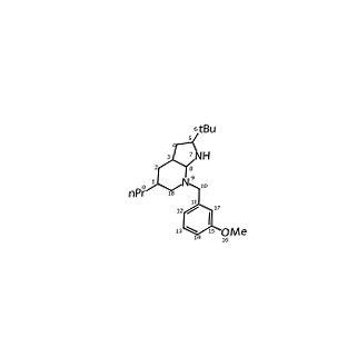 CCCC1CC2CC(C(C)(C)C)NC2N(Cc2cccc(OC)c2)C1